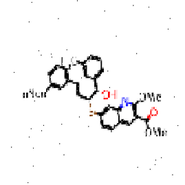 CCCCCCCCCc1cccc(C=C[C@H](Sc2ccc3cc(C(=O)OC)c(OC)nc3c2)[C@@H](O)c2cccc(C(F)(F)F)c2)c1